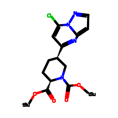 CC(C)(C)OC(=O)[C@@H]1CC[C@H](c2cc(Cl)n3nccc3n2)CN1C(=O)OC(C)(C)C